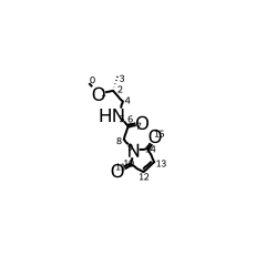 CO[C@H](C)CNC(=O)CN1C(=O)C=CC1=O